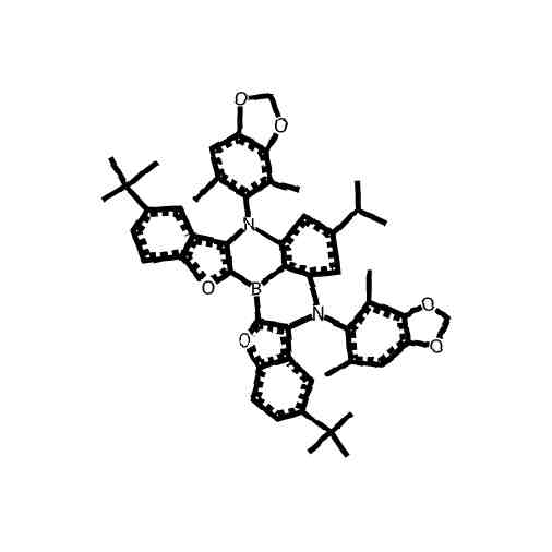 Cc1cc2c(c(C)c1N1c3cc(C(C)C)cc4c3B(c3oc5ccc(C(C)(C)C)cc5c31)c1oc3ccc(C(C)(C)C)cc3c1N4c1c(C)cc3c(c1C)OCO3)OCO2